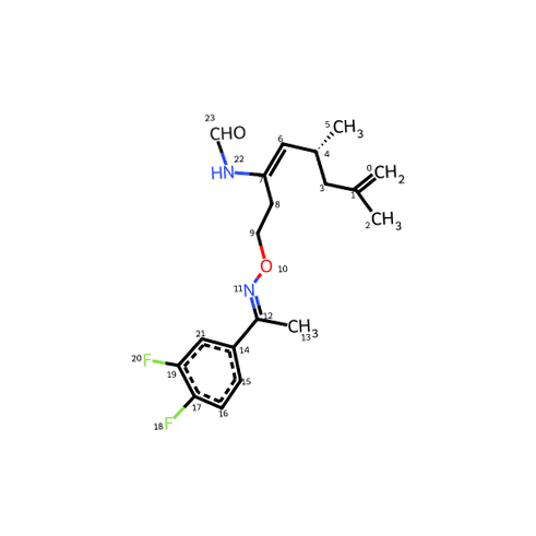 C=C(C)C[C@@H](C)/C=C(\CCON=C(C)c1ccc(F)c(F)c1)NC=O